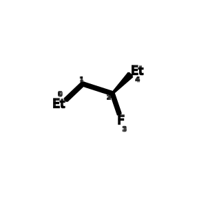 CCC[C@H](F)CC